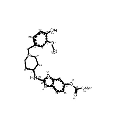 CCOc1cc(CN2CCC(Nc3nc4ccc(OC(=O)OC)cc4o3)CC2)ccc1O